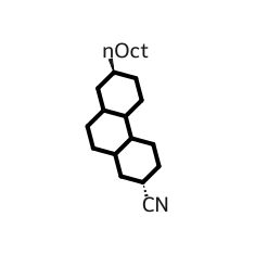 CCCCCCCC[C@H]1CCC2C(CCC3C[C@@H](C#N)CCC32)C1